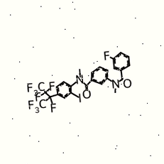 CN(C(=O)c1cccc(F)c1)c1cccc(C(=O)N(I)c2ccc(C(F)(C(F)(F)F)C(F)(F)C(F)(F)F)cc2I)c1